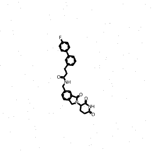 O=C(CCc1cccc(-c2ccc(F)cc2)c1)NCc1ccc2c(c1)C(=O)N(C1CCC(=O)NC1=O)C2